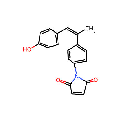 CC(=Cc1ccc(O)cc1)c1ccc(N2C(=O)C=CC2=O)cc1